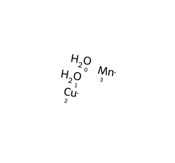 O.O.[Cu].[Mn]